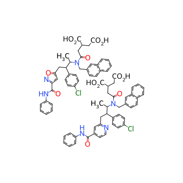 CC(C(Cc1cc(C(=O)Nc2ccccc2)ccn1)c1ccc(Cl)cc1)N(Cc1ccc2ccccc2c1)C(=O)CC(CC(=O)O)C(=O)O.CC(C(Cc1cc(C(=O)Nc2ccccc2)no1)c1ccc(Cl)cc1)N(Cc1ccc2ccccc2c1)C(=O)CC(CC(=O)O)C(=O)O